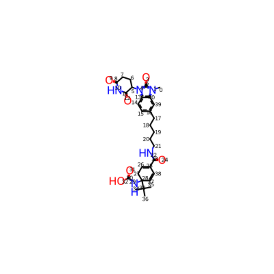 Cn1c(=O)n(C2CCC(=O)NC2=O)c2ccc(CCCCCNC(=O)C3=CCC(NC(=O)O)(C(C)(C)C)C=C3)cc21